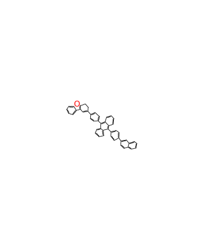 C1=C(c2ccc(-c3c4ccccc4c(-c4ccc(-c5ccc6ccccc6c5)cc4)c4ccccc34)cc2)CCc2oc3ccccc3c21